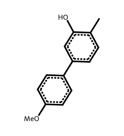 COc1ccc(-c2ccc(C)c(O)c2)cc1